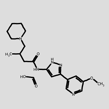 COc1cncc(-c2cc(NC(=O)CC(C)CN3CCCCC3)[nH]n2)c1.O=CO